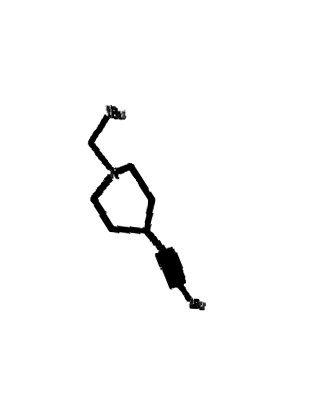 CC(C)(C)C#CC1CCN(CC(C)(C)C)CC1